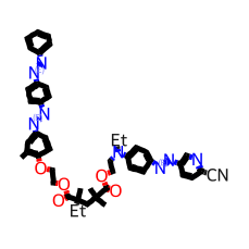 CCN(CCOC(=O)C(C)(C)CC(C)(CC)C(=O)OCCOc1ccc(/N=N/c2ccc(/N=N/c3ccccc3)cc2)cc1C)c1ccc(/N=N/c2ccc(C#N)nc2)cc1